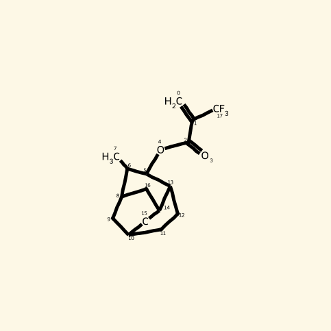 C=C(C(=O)OC1C(C)C2CC3CCC1C(C3)C2)C(F)(F)F